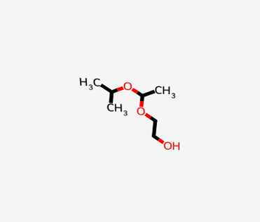 CC(C)OC(C)OCCO